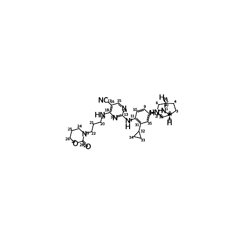 CN1[C@@H]2CC[C@H]1CN(c1ccc(Nc3ncc(C#N)c(NCCCN4CCCOC4=O)n3)c(C3CC3)c1)C2